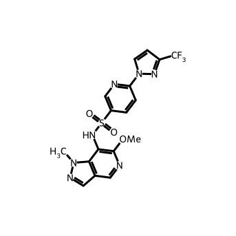 COc1ncc2cnn(C)c2c1NS(=O)(=O)c1ccc(-n2ccc(C(F)(F)F)n2)nc1